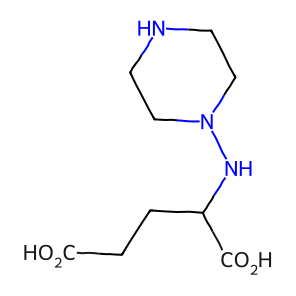 O=C(O)CCC(NN1CCNCC1)C(=O)O